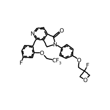 O=C1c2ccnc(-c3ccc(F)cc3OCC(F)(F)F)c2CN1c1ccc(OCC2(F)COC2)cc1